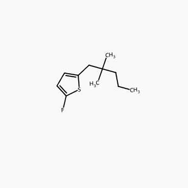 CCCC(C)(C)Cc1ccc(F)s1